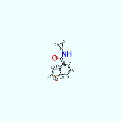 O=C(NC1CC1)c1cccc2sccc12